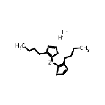 CCCCC1=[C]([Zr][C]2=C(CCCC)C=CC2)CC=C1.[H-].[H-]